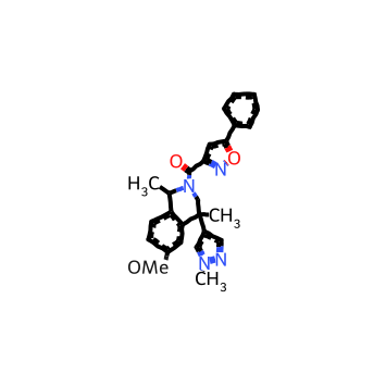 COc1ccc2c(c1)C(C)(c1cnn(C)c1)CN(C(=O)c1cc(-c3ccccc3)on1)C2C